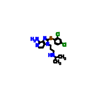 CC(C)NCCCn1c(Sc2ccc(Cl)cc2Cl)nc2c(N)nccc21